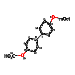 CCCCCCCCOc1ccc(-c2ccc(OC(=O)O)cc2)cc1